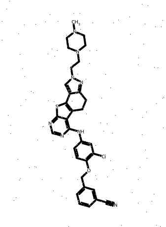 CN1CCN(CCn2cc3c(n2)CCc2c-3sc3ncnc(Nc4ccc(OCc5cccc(C#N)c5)c(Cl)c4)c23)CC1